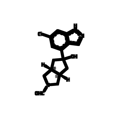 O=CN1C[C@@H]2CC(O)(c3cc(Cl)cc4[nH]ncc34)C[C@@H]2C1